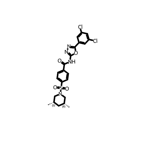 C[C@@H]1C[C@H](C)CN(S(=O)(=O)c2ccc(C(=O)Nc3nnc(-c4cc(Cl)cc(Cl)c4)o3)cc2)C1